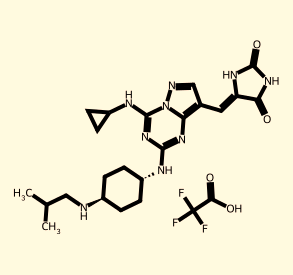 CC(C)CN[C@H]1CC[C@H](Nc2nc(NC3CC3)n3ncc(/C=C4\NC(=O)NC4=O)c3n2)CC1.O=C(O)C(F)(F)F